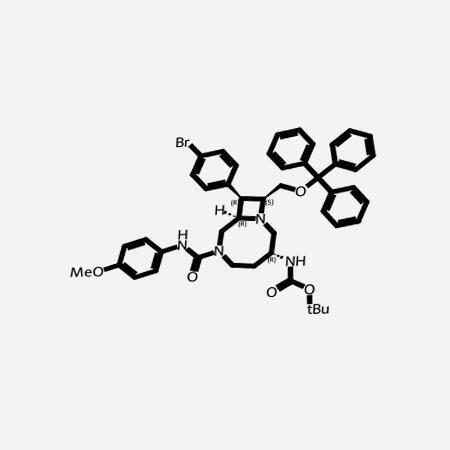 COc1ccc(NC(=O)N2CC[C@@H](NC(=O)OC(C)(C)C)CN3[C@H](COC(c4ccccc4)(c4ccccc4)c4ccccc4)[C@H](c4ccc(Br)cc4)[C@@H]3C2)cc1